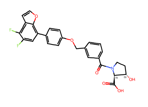 O=C(O)[C@@H]1[C@@H](O)CCN1C(=O)c1cccc(COc2ccc(-c3cc(F)c(F)c4ccoc34)cc2)c1